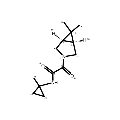 CC1(NC(=O)C(=O)N2C[C@@H]3[C@H](C2)C3(C)C)CC1